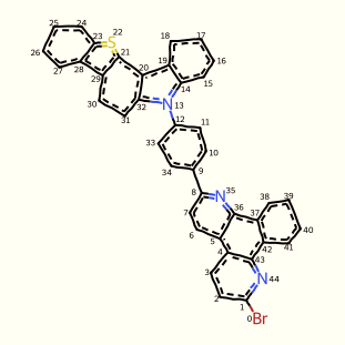 Brc1ccc2c3ccc(-c4ccc(-n5c6ccccc6c6c7sc8ccccc8c7ccc65)cc4)nc3c3ccccc3c2n1